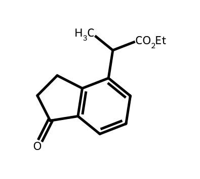 CCOC(=O)C(C)c1cccc2c1CCC2=O